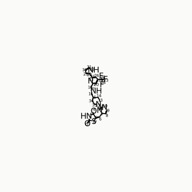 O=C1NC(=O)/C(=C\c2ccnc(N3CCC(CNCc4cc(C(F)(F)F)cc(-c5ccc[nH]5)n4)CC3)n2)S1